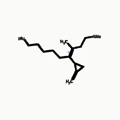 C=C1CC1/C(CCCCCC(C)(C)C)=C(/C)CCNC